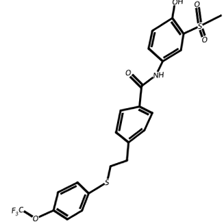 CS(=O)(=O)c1cc(NC(=O)c2ccc(CCSc3ccc(OC(F)(F)F)cc3)cc2)ccc1O